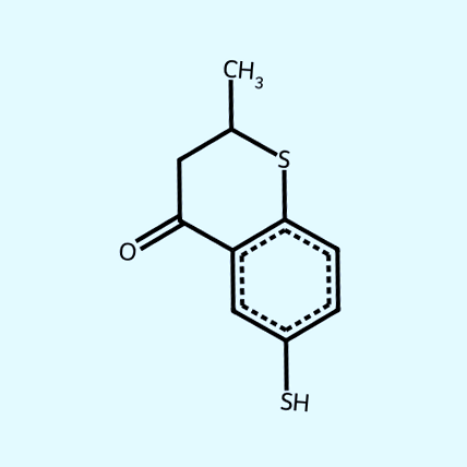 CC1CC(=O)c2cc(S)ccc2S1